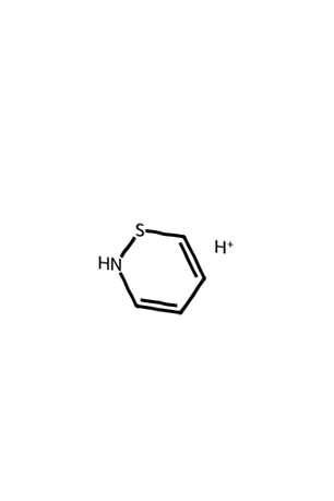 C1=CNSC=C1.[H+]